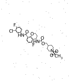 CS(=O)(=O)N1CCC(COC(=O)N[C@H]2CCOc3c(C(=O)Nc4ccc(F)c(Cl)c4)ccc(F)c32)CC1